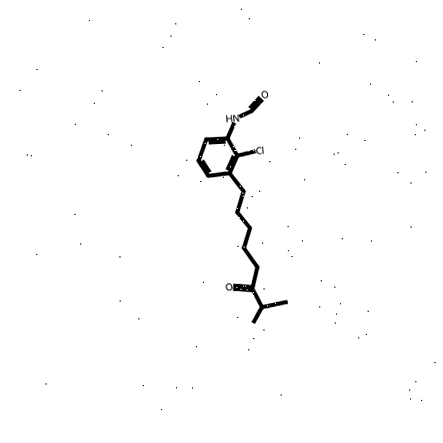 CC(C)C(=O)CCCCCc1cccc(NC=O)c1Cl